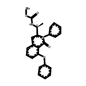 C[C@H](NC(=O)OC(C)(C)C)c1cc2cccc(Oc3ccccc3)c2c(=O)n1-c1ccccc1